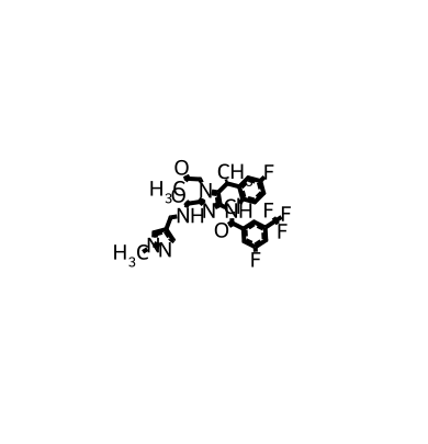 CC(=O)Cn1c(C(=O)NCc2cnn(C)c2)nc(NC(=O)c2cc(F)cc(C(F)(F)F)c2)c1[C@@H](C)c1cc(F)ccc1Cl